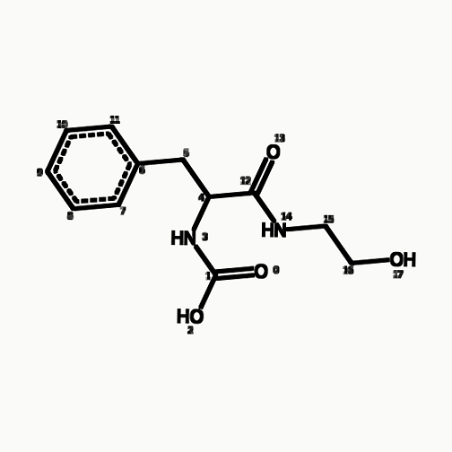 O=C(O)NC(Cc1ccccc1)C(=O)NCCO